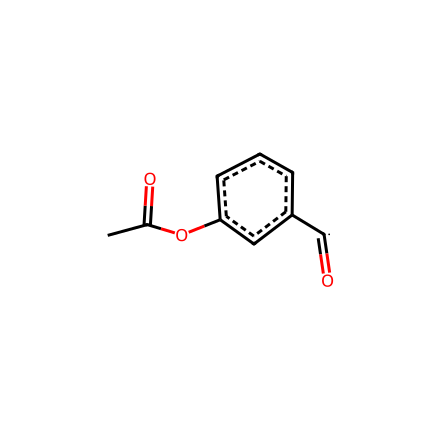 CC(=O)Oc1cccc([C]=O)c1